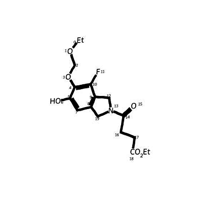 CCOCOc1c(O)cc2c(c1F)CN(C(=O)CCC(=O)OCC)C2